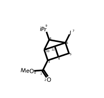 COC(=O)C1C2CC3(I)C(C(C)C)C1C23